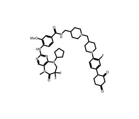 COc1cc(C(=O)NCC2CCN(CC3CCN(c4ccc(C5CCC(=O)CC5=O)cc4F)CC3)CC2)ccc1Nc1ncc2c(n1)N(C1CCCC1)CC(F)(F)C(=O)N2C